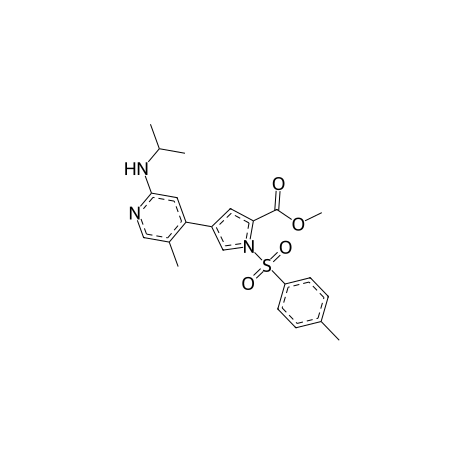 COC(=O)c1cc(-c2cc(NC(C)C)ncc2C)cn1S(=O)(=O)c1ccc(C)cc1